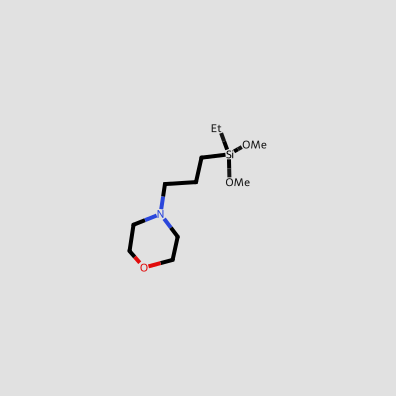 CC[Si](CCCN1CCOCC1)(OC)OC